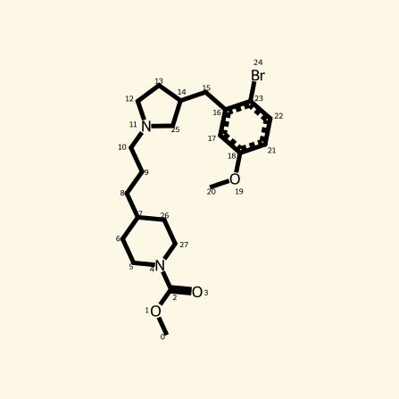 COC(=O)N1CCC(CCCN2CCC(Cc3cc(OC)ccc3Br)C2)CC1